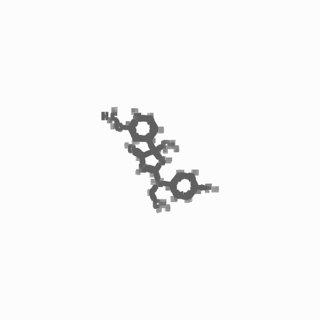 CCN(C1=NC(=O)C(C)(c2ccnc(OC)c2)S1)c1ccc(F)cc1